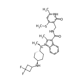 CSc1cc(C)[nH]c(=O)c1CNC(=O)c1c(C)n([C@H](C)[C@H]2CC[C@H](NC3CC(F)(F)C3)CC2)c2ccccc12